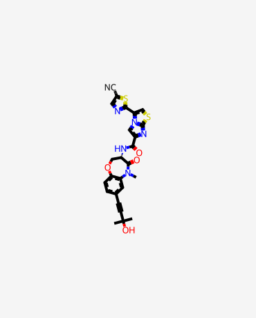 CN1C(=O)[C@@H](NC(=O)c2cn3c(-c4ncc(C#N)s4)csc3n2)COc2ccc(C#CC(C)(C)O)cc21